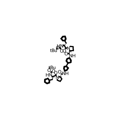 CC(C)(C)OC(=O)N[C@H](Cc1ccccc1)C(=O)N1CCC[C@H]1C(=O)Nc1ccc(-c2ccc(NC(=O)[C@@H]3CCCN3C(=O)[C@@H](Cc3ccccc3)NC(=O)OC(C)(C)C)cc2)cc1